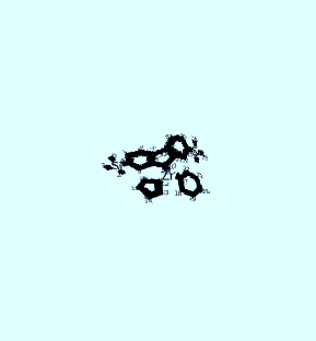 C[Si](C)(C)c1ccc2c(c1)[CH]([Zr]([C]1=CC=CC1)=[C]1CCCCC1)c1cc([Si](C)(C)C)ccc1-2